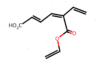 C=COC(=O)C(C=C)=CC=CC(=O)O